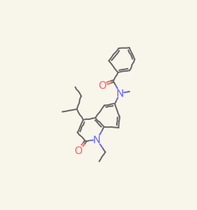 CCC(C)c1cc(=O)n(CC)c2ccc(N(C)C(=O)c3ccccc3)cc12